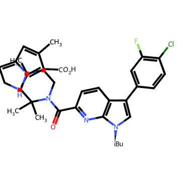 CC[C@H](C)n1cc(-c2ccc(Cl)c(F)c2)c2ccc(C(=O)N3CCN(C4=C\CN/C(C)=C(C(=O)O)/C(C)=C\4)CC3(C)C)nc21